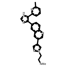 CNCCn1cc(-c2cnc3ccc(-c4nc[nH]c4-c4cccc(C)n4)cc3c2)cn1